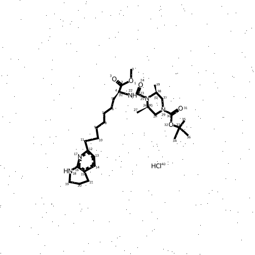 COC(=O)[C@H](CCCCCCCc1ccc2c(n1)NCCC2)NC(=O)N1[C@H](C)CN(C(=O)OC(C)(C)C)C[C@@H]1C.Cl